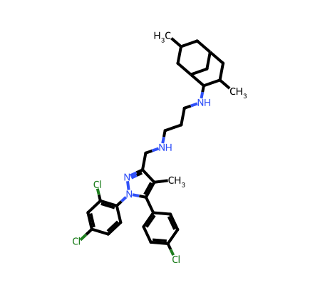 Cc1c(CNCCCNC2C(C)CC3CC(C)CC2C3)nn(-c2ccc(Cl)cc2Cl)c1-c1ccc(Cl)cc1